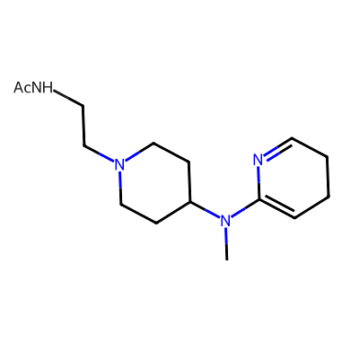 CC(=O)NCCN1CCC(N(C)C2=CCCC=N2)CC1